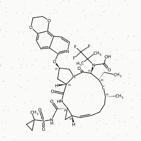 CC[C@@H]1C[C@H](C)CCC=C[C@@H]2C[C@@]2(C(=O)NS(=O)(=O)C2(C)CC2)NC(=O)[C@@H]2C[C@@H](Oc3nccc4c5c(ccc34)OCCO5)CN2C(=O)[C@H]1N(C(=O)O)C(C)(C)C(F)(F)F